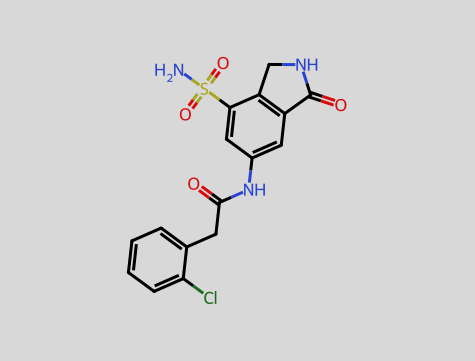 NS(=O)(=O)c1cc(NC(=O)Cc2ccccc2Cl)cc2c1CNC2=O